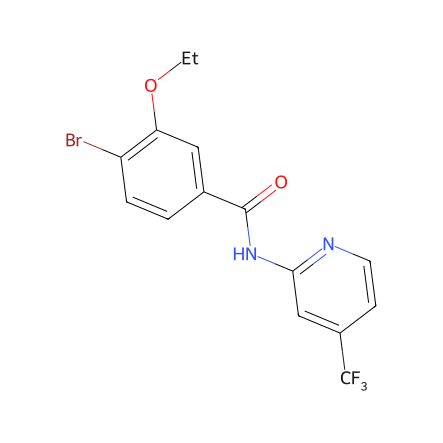 CCOc1cc(C(=O)Nc2cc(C(F)(F)F)ccn2)ccc1Br